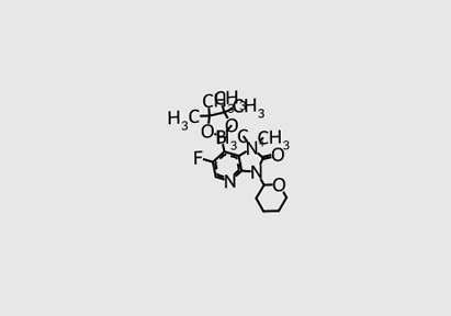 CC1(C)OB(c2c(F)cnc3c2[N+](C)(C)C(=O)N3C2CCCCO2)OC1(C)C